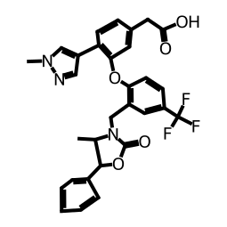 CC1C(c2ccccc2)OC(=O)N1Cc1cc(C(F)(F)F)ccc1Oc1cc(CC(=O)O)ccc1-c1cnn(C)c1